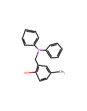 Cc1ccc(O)c(CP(c2ccccc2)c2ccccc2)c1